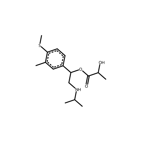 CSc1ccc(C(CNC(C)C)OC(=O)C(C)O)cc1C